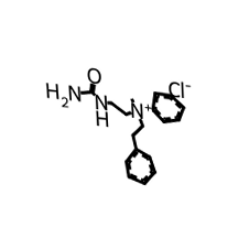 C[N+](CCNC(N)=O)(CCc1ccccc1)c1ccccc1.[Cl-]